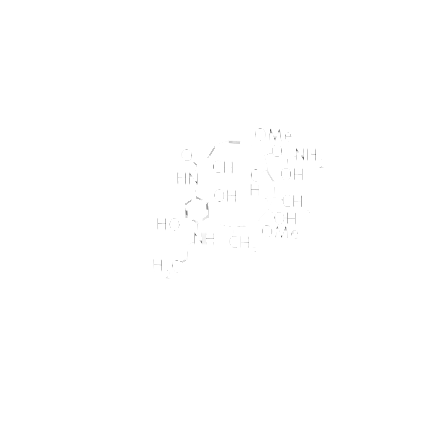 C=CCNc1c(O)cc2c(O)c1C[C@@H](C)C[C@H](OC)[C@H](O)[C@@H](C)/C=C(\C)[C@H](OC(N)O)[C@@H](OC)/C=C\C=C(/C)C(=O)N2